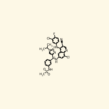 CC(C)n1cc([C@@H](Nc2cc(Cl)c3ncc(C#N)c(Nc4ccc(F)c(Cl)c4)c3c2)c2cccc(NS(C)(=O)=O)c2)nn1